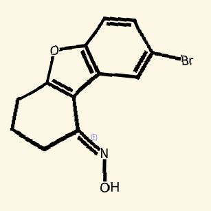 O/N=C1\CCCc2oc3ccc(Br)cc3c21